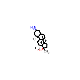 CC1(O)CC[C@H]2[C@@H]3CC=C4CC(N)CC[C@]4(C)[C@@H]3CC[C@@]21C